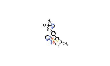 CC(C)Cc1cc(-c2ccc(Cn3ccnc3C(C)(C)C)cc2)c(S(=O)(=O)Nc2ncccn2)s1